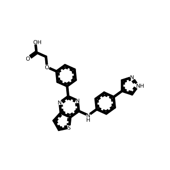 O=C(O)COc1cccc(-c2nc(Nc3ccc(-c4cn[nH]c4)cc3)c3sccc3n2)c1